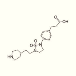 O=C(O)CCc1ccc(N2CCN(CCC3CCNCC3)S2(=O)=O)cc1